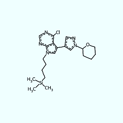 C[Si](C)(C)CCCCn1cc(-c2cnn(C3CCCCO3)c2)c2c(Cl)ncnc21